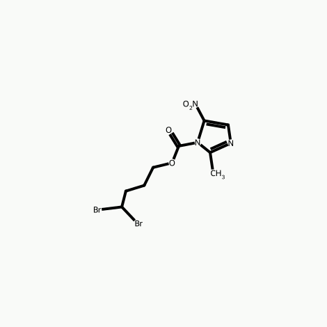 Cc1ncc([N+](=O)[O-])n1C(=O)OCCCC(Br)Br